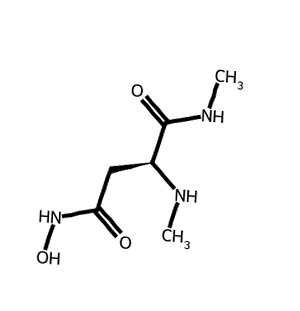 CNC(=O)[C@H](CC(=O)NO)NC